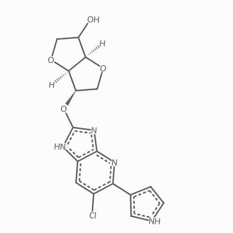 OC1CO[C@H]2[C@@H]1OC[C@H]2Oc1nc2nc(-c3cc[nH]c3)c(Cl)cc2[nH]1